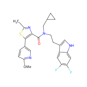 COc1ccc(-c2sc(C)nc2C(=O)N(CCc2c[nH]c3cc(F)c(F)cc23)CC2CC2)cn1